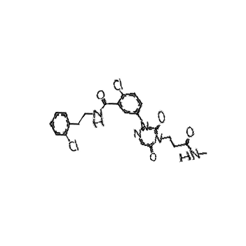 CNC(=O)CCn1c(=O)cnn(-c2ccc(Cl)c(C(=O)NCCc3ccccc3Cl)c2)c1=O